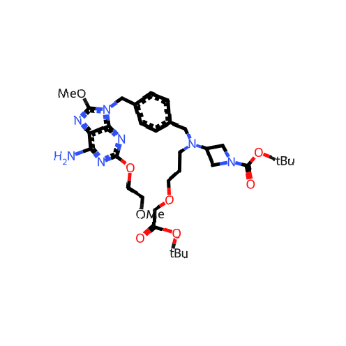 COCCOc1nc(N)c2nc(OC)n(Cc3ccc(CN(CCCOCC(=O)OC(C)(C)C)C4CN(C(=O)OC(C)(C)C)C4)cc3)c2n1